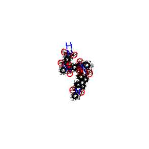 O=C1c2ccc3c4ccc5c6c(ccc(c7ccc(c2c37)C(=O)N1C1CCCCC1)c64)C(=O)N([C@H]1CCCC[C@@H]1n1c(=O)c2cc3c(=O)n([C@H]4CCCC[C@@H]4n4c(=O)c6cc7c(=O)[nH]c(=O)c7cc6c4=O)c(=O)c3cc2c1=O)C5=O